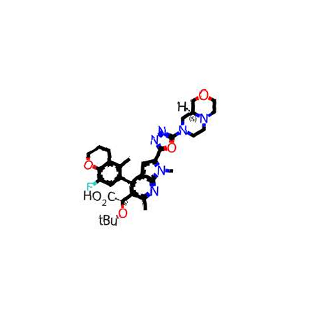 Cc1nc2c(cc(-c3nnc(N4CCN5CCOC[C@@H]5C4)o3)n2C)c(-c2cc(F)c3c(c2C)CCCO3)c1[C@H](OC(C)(C)C)C(=O)O